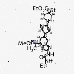 CCNC(=O)Nc1nc2cc(-c3cnc(N4CCC(CC)(C(=O)OCC)CC4)nc3)cc(/C(C)=N/OC)c2s1